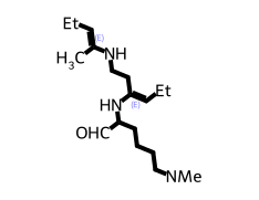 CC/C=C(\C)NCC/C(=C\CC)NC(C=O)CCCCNC